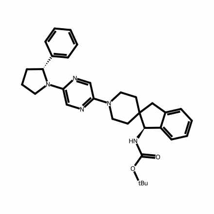 CC(C)(C)OC(=O)N[C@@H]1c2ccccc2CC12CCN(c1cnc(N3CCC[C@@H]3c3ccccc3)cn1)CC2